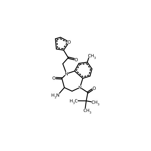 Cc1ccc2c(c1)N(CC(=O)c1ccco1)C(=O)C(N)CN2C(=O)C(C)(C)C